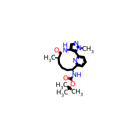 C[C@@H]1CCC[C@H](NC(=O)OC(C)(C)C)c2cccc(n2)-c2c(cnn2C)NC1=O